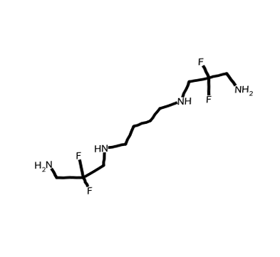 NCC(F)(F)CNCCCCNCC(F)(F)CN